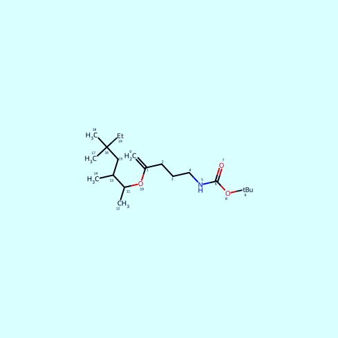 C=C(CCCNC(=O)OC(C)(C)C)OC(C)C(C)CC(C)(C)CC